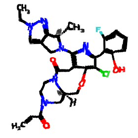 C=CC(=O)N1CCN2C(=O)c3c(N4Cc5cn(CC)nc5[C@@H]4C)nc(-c4c(O)cccc4F)c(Cl)c3OC[C@H]2C1